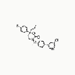 C=CCC1(c2ccc(F)cc2)CCN([C@@H](C)c2ccc(-c3cncc(Cl)c3)cc2)C(=O)O1